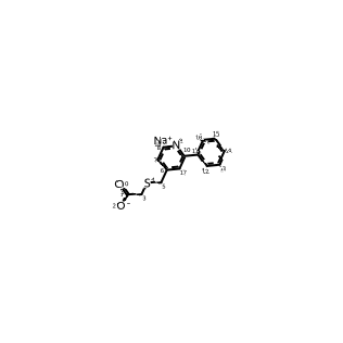 O=C([O-])CSCc1ccnc(-c2ccccc2)c1.[Na+]